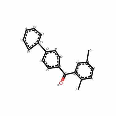 Cc1ccc(C)c(C(=O)c2ccc(-c3ccccc3)cc2)c1